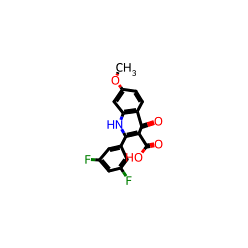 COc1ccc2c(=O)c(C(=O)O)c(-c3cc(F)cc(F)c3)[nH]c2c1